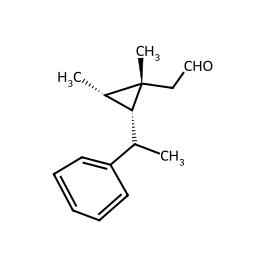 CC(c1ccccc1)[C@@H]1[C@H](C)[C@]1(C)CC=O